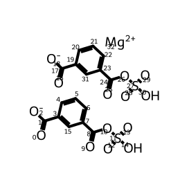 O=C([O-])c1cccc(C(=O)OS(=O)(=O)O)c1.O=C([O-])c1cccc(C(=O)OS(=O)(=O)O)c1.[Mg+2]